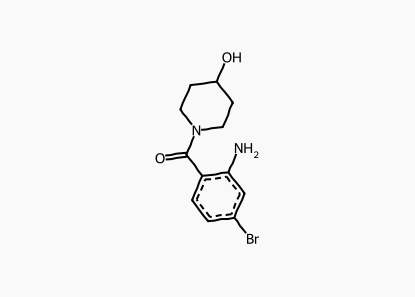 Nc1cc(Br)ccc1C(=O)N1CCC(O)CC1